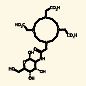 O=C(O)CN1CCN(CC(=O)O)CCN(CC(=O)NC2[C@H](O)OC(CO)[C@@H](O)[C@H]2O)CCN(CC(=O)O)CC1